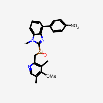 [CH2]n1c([S+]([O-])Cc2ncc(C)c(OC)c2C)nc2c(-c3ccc([N+](=O)[O-])cc3)cccc21